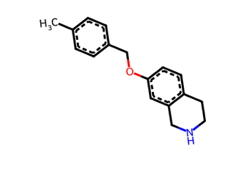 Cc1ccc(COc2ccc3c(c2)CNCC3)cc1